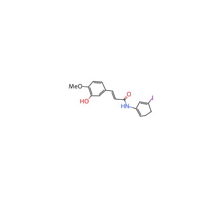 COc1ccc(/C=C/C(=O)NC2=CCCC(I)=C2)cc1O